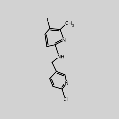 Cc1nc(NCc2ccc(Cl)nc2)ccc1I